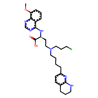 COc1cccc2c(N[C@@H](CCN(CCCF)CCCCc3ccc4c(n3)NCCC4)C(=O)O)ncnc12